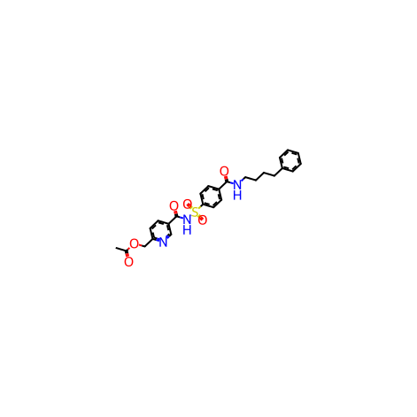 CC(=O)OCc1ccc(C(=O)NS(=O)(=O)c2ccc(C(=O)NCCCCc3ccccc3)cc2)cn1